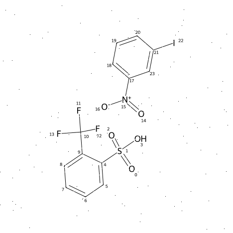 O=S(=O)(O)c1ccccc1C(F)(F)F.O=[N+]([O-])c1cccc(I)c1